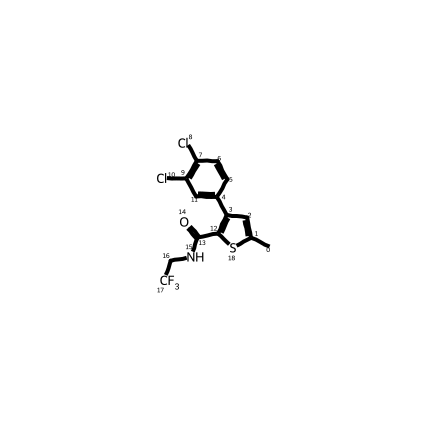 Cc1cc(-c2ccc(Cl)c(Cl)c2)c(C(=O)NCC(F)(F)F)s1